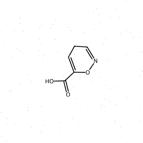 O=C(O)C1=CCC=NO1